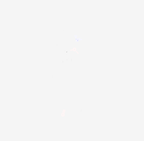 CC(=CC[C@H](O[Si](C)(C)C(C)(C)C)C(C)=Cc1csc(C)n1)CCC[C@H](C)C=O